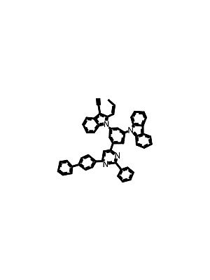 C#Cc1c(/C=C\C)n(-c2cc(-c3cc(-c4ccc(-c5ccccc5)cc4)nc(-c4ccccc4)n3)cc(-n3c4ccccc4c4ccccc43)c2)c2ccccc12